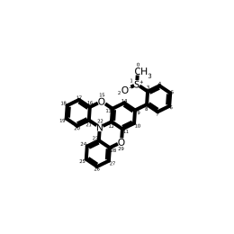 C[S+]([O-])c1ccccc1-c1cc2c3c(c1)Oc1ccccc1N3c1ccccc1O2